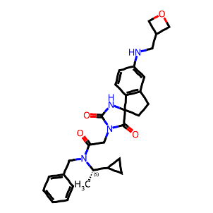 C[C@@H](C1CC1)N(Cc1ccccc1)C(=O)CN1C(=O)NC2(CCc3cc(NCC4COC4)ccc32)C1=O